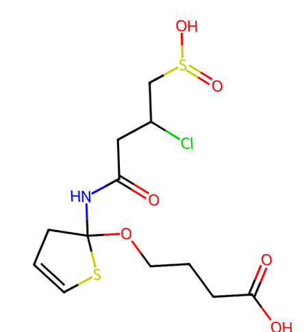 O=C(O)CCCOC1(NC(=O)CC(Cl)CS(=O)O)CC=CS1